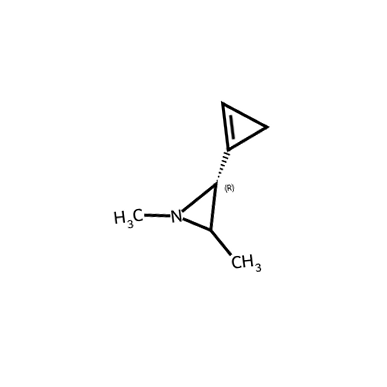 CC1[C@@H](C2=CC2)N1C